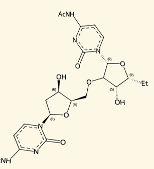 CC[C@H]1O[C@@H](n2ccc(NC(C)=O)nc2=O)C(OC[C@H]2O[C@@H](n3ccc(NC(C)=O)nc3=O)C[C@H]2O)[C@H]1O